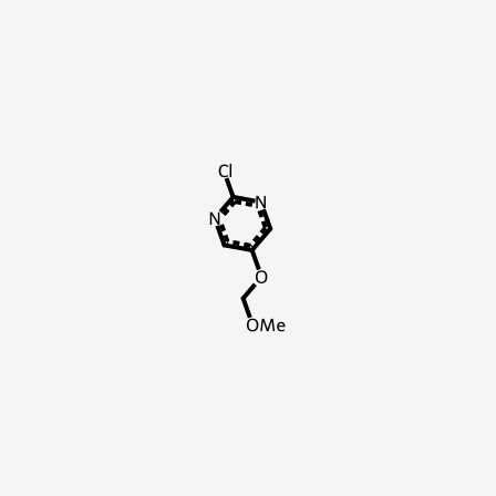 COCOc1cnc(Cl)nc1